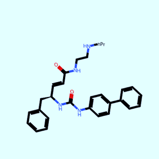 CCCNCCNC(=O)/C=C/[C@H](Cc1ccccc1)NC(=O)Nc1ccc(-c2ccccc2)cc1